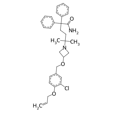 C=CCOc1ccc(COC2CN(C(C)(C)CCC(C(N)=O)(c3ccccc3)c3ccccc3)C2)cc1Cl